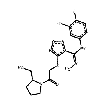 O=C(CSc1nonc1/C(=N\O)Nc1ccc(F)c(Br)c1)N1CCC[C@H]1CO